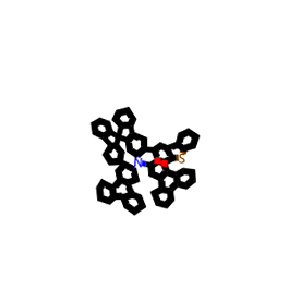 c1ccc2c(c1)-c1ccccc1C21c2ccccc2-c2cc(-c3ccc4sc5ccccc5c4c3)c(N(c3ccc4c5ccccc5c5ccccc5c4c3)c3ccc4c5ccccc5c5ccccc5c4c3)cc21